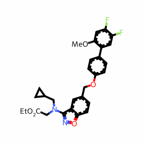 CCOC(=O)CN(CC1CC1)c1noc2ccc(COc3ccc(-c4cc(F)c(F)cc4OC)cc3)cc12